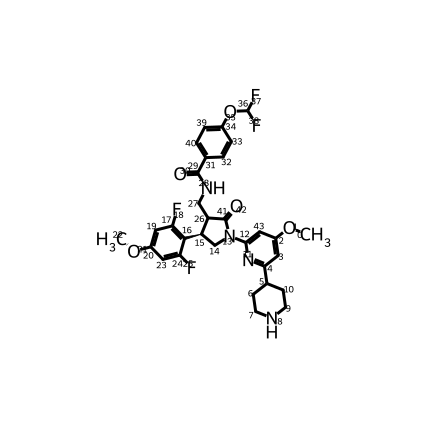 COc1cc(C2CCNCC2)nc(N2C[C@@H](c3c(F)cc(OC)cc3F)C(CNC(=O)c3ccc(OC(F)F)cc3)C2=O)c1